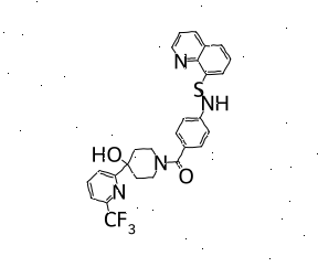 O=C(c1ccc(NSc2cccc3cccnc23)cc1)N1CCC(O)(c2cccc(C(F)(F)F)n2)CC1